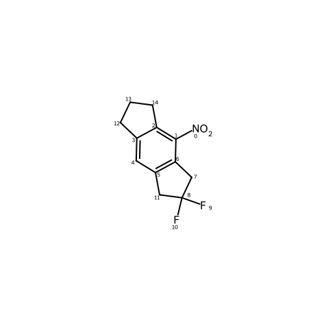 O=[N+]([O-])c1c2c(cc3c1CC(F)(F)C3)CCC2